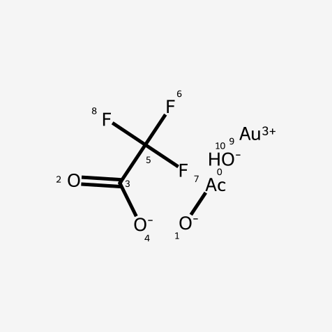 CC(=O)[O-].O=C([O-])C(F)(F)F.[Au+3].[OH-]